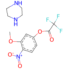 C1CNCCN1.COc1cc(OC(=O)C(F)(F)F)ccc1[N+](=O)[O-]